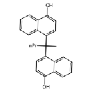 CCCC(C)(c1ccc(O)c2ccccc12)c1ccc(O)c2ccccc12